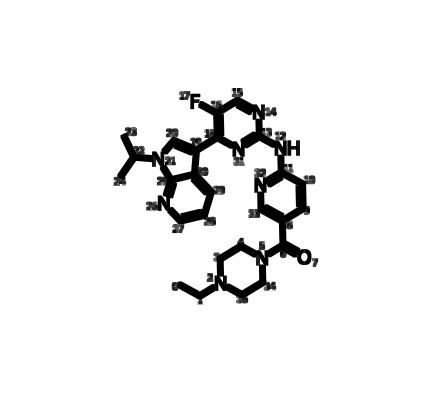 CCN1CCN(C(=O)c2ccc(Nc3ncc(F)c(-c4cn(C(C)C)c5ncccc45)n3)nc2)CC1